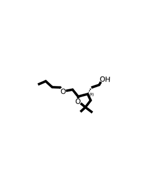 CCCCOCC1OC(C)(C)C[C@H]1CCO